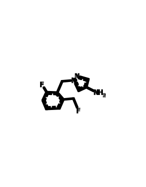 Nc1cnn(Cc2c(F)cccc2CF)c1